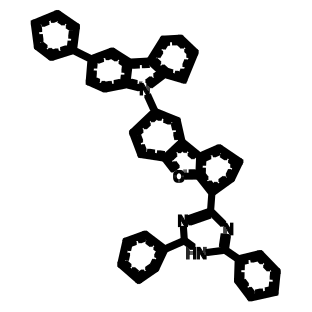 c1ccc(C2=NC(c3cccc4c3oc3ccc(-n5c6ccccc6c6cc(-c7ccccc7)ccc65)cc34)=NC(c3ccccc3)N2)cc1